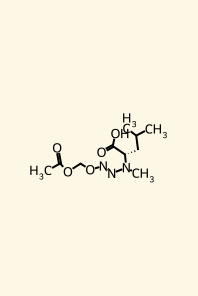 CC(=O)OCON=NN(C)[C@@H](CC(C)C)C(=O)O